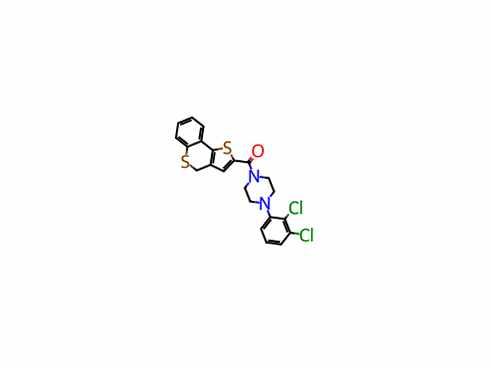 O=C(c1cc2c(s1)-c1ccccc1SC2)N1CCN(c2cccc(Cl)c2Cl)CC1